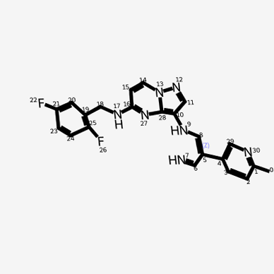 Cc1ccc(/C(C=N)=C/Nc2cnn3ccc(NCc4cc(F)ccc4F)nc23)cn1